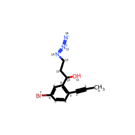 CC#Cc1ccc(Br)cc1C(O)CCN=[N+]=[N-]